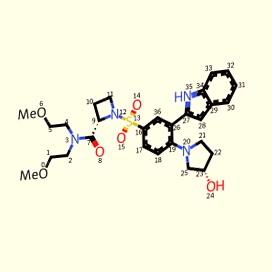 COCCN(CCOC)C(=O)[C@@H]1CCN1S(=O)(=O)c1ccc(N2CC[C@H](O)C2)c(-c2cc3ccccc3[nH]2)c1